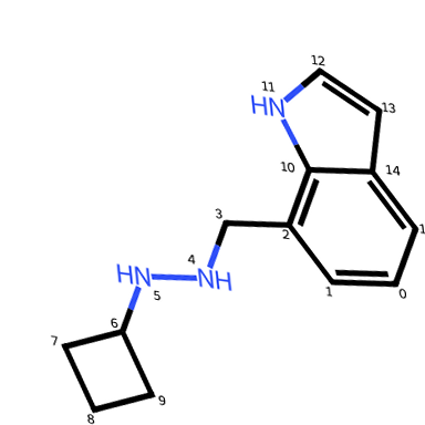 c1cc(CNNC2CCC2)c2[nH]ccc2c1